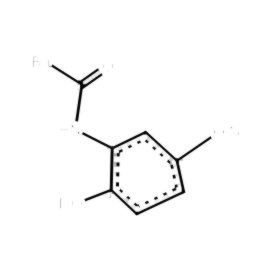 CC(=O)Oc1ccc(O)c(NC(=O)C(C)(C)C)c1